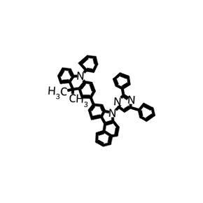 CC1(C)c2ccccc2N(c2ccccc2)c2ccc(-c3ccc4c5c6ccccc6ccc5n(-c5cc(-c6ccccc6)nc(-c6ccccc6)n5)c4c3)cc21